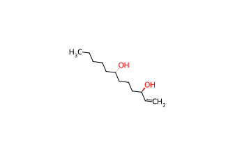 C=C[C@H](O)CCC[C@@H](O)CCCCC